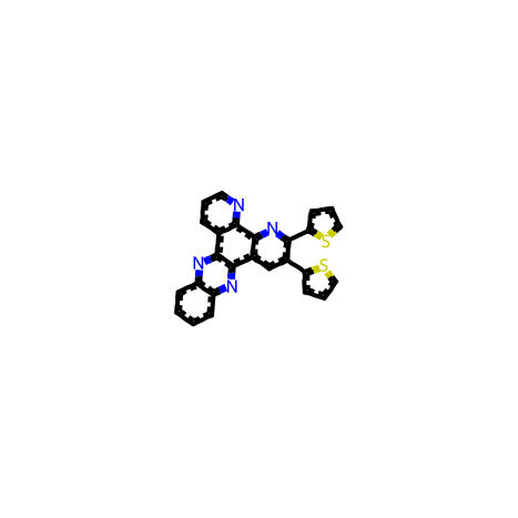 c1csc(-c2cc3c(nc2-c2cccs2)c2ncccc2c2nc4ccccc4nc32)c1